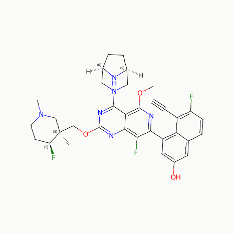 C#Cc1c(F)ccc2cc(O)cc(-c3nc(OC)c4c(N5C[C@H]6CC[C@@H](C5)N6)nc(OC[C@]5(C)CN(C)CC[C@@H]5F)nc4c3F)c12